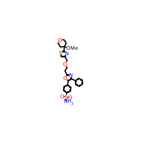 COC1(c2nc(COCCc3nc(-c4ccccc4)c(-c4ccc(S(N)(=O)=O)cc4)o3)cs2)CCOCC1